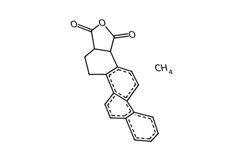 C.O=C1OC(=O)C2c3ccc4c(ccc5ccccc54)c3CCC12